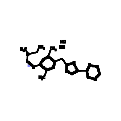 CCN(C)/C=N\c1cc(C)c(Cc2nc(-c3cnccn3)cs2)cc1C.Cl.Cl